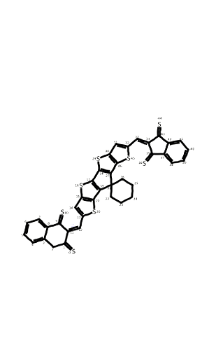 S=C1Cc2ccccc2C(=S)/C1=C\c1cc2sc3c(c2s1)C1(CCCCC1)c1c-3sc2cc(C=C3C(=S)c4ccccc4C3=S)sc12